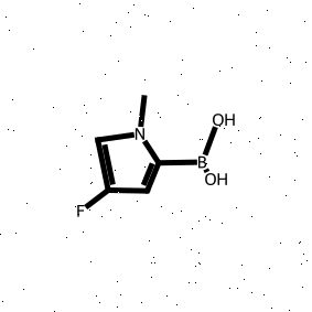 Cn1cc(F)cc1B(O)O